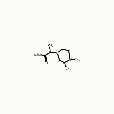 COC(=O)[C@@H](C)N1CCN(C)[C@@H](C)C1